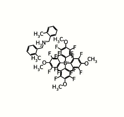 COc1c(F)c(F)c([B-](c2c(F)c(F)c(OC)c(F)c2F)(c2c(F)c(F)c(OC)c(F)c2F)c2c(F)c(F)c(OC)c(F)c2F)c(F)c1F.Cc1ccccc1C[NH2+]Cc1ccccc1C